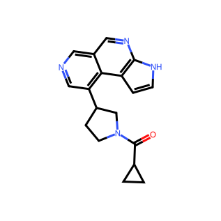 O=C(C1CC1)N1CCC(c2cncc3cnc4[nH]ccc4c23)C1